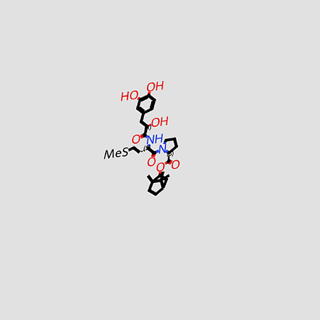 CSCC[C@H](NC(=O)[C@H](O)Cc1ccc(O)c(O)c1)C(=O)N1CCC[C@H]1C(=O)OC1CC2CCC1(C)C2(C)C